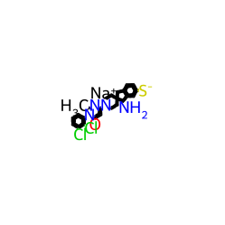 Cc1nc(N2CCC3(CC2)Cc2ccc([S-])cc2[C@H]3N)cc(=O)n1-c1cccc(Cl)c1Cl.[Na+]